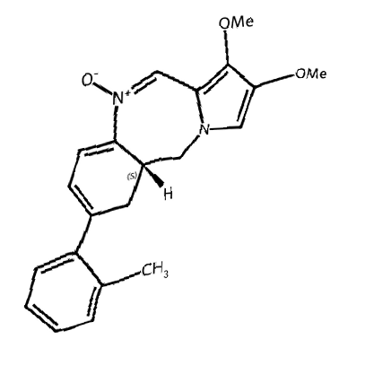 COc1cn2c(c1OC)C=[N+]([O-])C1=CC=C(c3ccccc3C)C[C@H]1C2